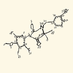 COc1c(F)cc(N2C(=O)N(Cc3ccnc(Br)c3)C(C)(C)C2=O)c(F)c1F